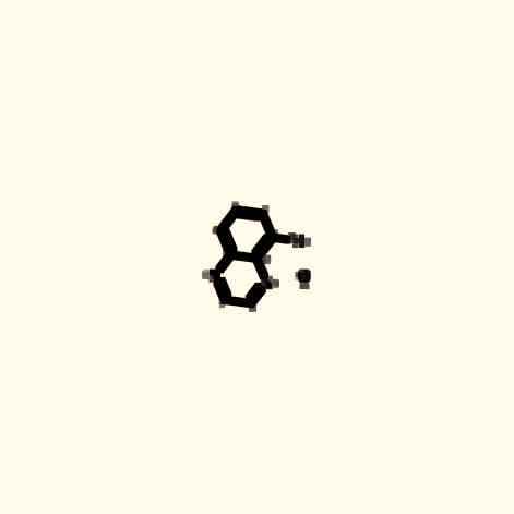 [2H]c1cccc2nccnc12.[O]